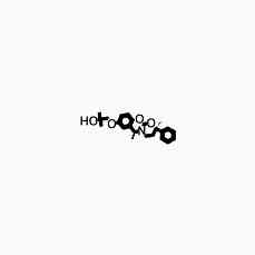 C[C@@H](c1cccc(OCC(C)(C)O)c1)N1CC[C@](C)(c2ccccc2)OC1=O